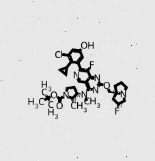 C[C@H]1[C@@H](N(C)c2nc(OC[C@@]34CCCN3C[C@H](F)C4)nc3c(F)c(-c4cc(O)cc(Cl)c4C4CC4)ncc23)CCN1C(=O)OC(C)(C)C